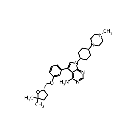 CN1CCN(C2CCC(n3cc(-c4cccc(OC[C@@H]5CCC(C)(C)O5)c4)c4c(N)ncnc43)CC2)CC1